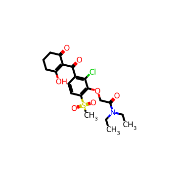 CCN(CC)C(=O)COc1c(S(C)(=O)=O)ccc(C(=O)C2=C(O)CCCC2=O)c1Cl